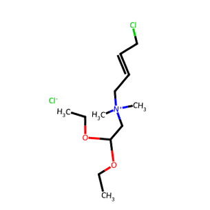 CCOC(C[N+](C)(C)CC=CCCl)OCC.[Cl-]